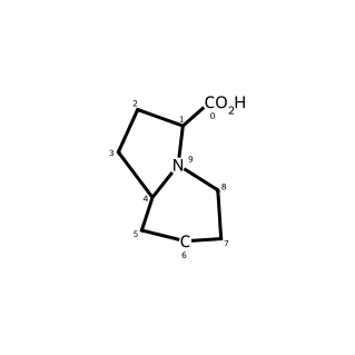 O=C(O)C1CCC2CCCCN21